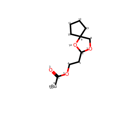 CC(C)(C)C(=O)OCCC1OCC2(CCCC2)O1